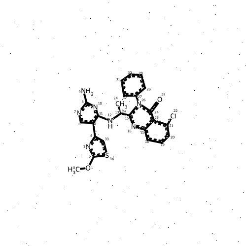 COc1nc(-c2cnc(N)nc2N[C@@H](C)c2nc3cccc(Cl)c3c(=O)n2-c2ccccc2)cs1